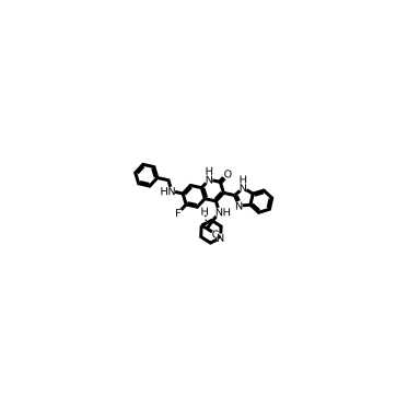 O=c1[nH]c2cc(NCc3ccccc3)c(F)cc2c(N[C@H]2CN3CCC2CC3)c1-c1nc2ccccc2[nH]1